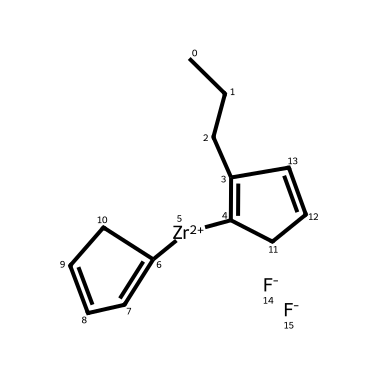 CCCC1=[C]([Zr+2][C]2=CC=CC2)CC=C1.[F-].[F-]